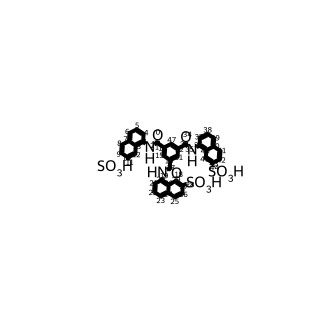 O=C(Nc1cccc2ccc(S(=O)(=O)O)cc12)c1cc(C(=O)Nc2cccc3ccc(S(=O)(=O)O)cc23)cc(C(=O)Nc2cccc3ccc(S(=O)(=O)O)cc23)c1